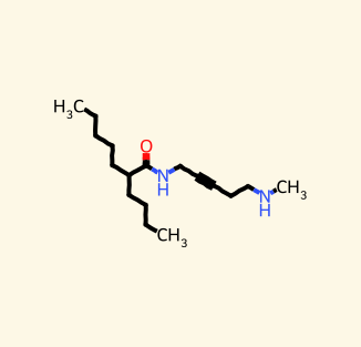 CCCCCC(CCCC)C(=O)NCC#CCCNC